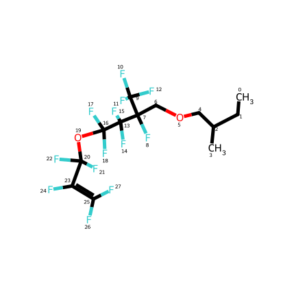 CCC(C)COCC(F)(C(F)(F)F)C(F)(F)C(F)(F)OC(F)(F)C(F)=C(F)F